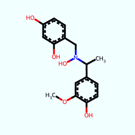 COc1cc(C(C)N(O)Cc2ccc(O)cc2O)ccc1O